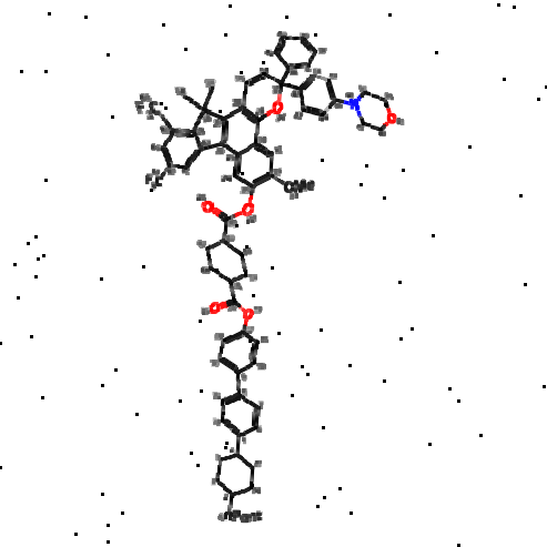 CCCCCC1CCC(c2ccc(-c3ccc(OC(=O)C4CCC(C(=O)Oc5cc6c7c(c8c(c6cc5OC)OC(c5ccccc5)(c5ccc(N6CCOCC6)cc5)C=C8)C(C)(C)c5c-7cc(C(F)(F)F)cc5C(F)(F)F)CC4)cc3)cc2)CC1